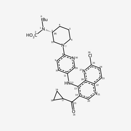 CC(C)(C)N(C(=O)O)[C@@H]1CCCN(c2ccc(Nc3c(C(=O)C4CC4)cnc4ccc(Cl)nc34)cn2)C1